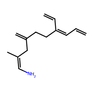 C=C/C=C(\C=C)CCC(=C)C/C(C)=C\N